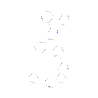 c1ccc(-c2ccc3ccc4ccc(-c5ccc(-c6nc(-c7ccccc7)c(-c7ccccc7)nc6-c6ccccc6)cc5)nc4c3n2)cc1